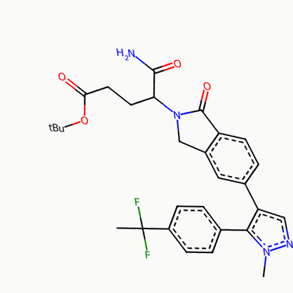 Cn1ncc(-c2ccc3c(c2)CN(C(CCC(=O)OC(C)(C)C)C(N)=O)C3=O)c1-c1ccc(C(C)(F)F)cc1